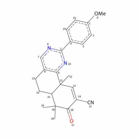 COc1ccc(-c2ncc3c(n2)C2(C)C=C(C#N)C(=O)C(C)(C)C2CC3)cc1